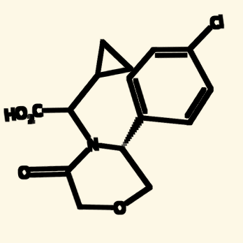 O=C(O)C(C1CC1)N1C(=O)COC[C@H]1c1ccc(Cl)cc1